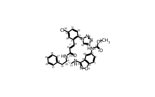 COC(=O)Nc1ccc2onc(NC[C@H](Cc3ccccc3)NC(=O)/C=C/c3cc(Cl)ccc3-n3cnnn3)c2c1